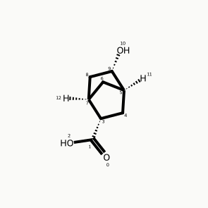 O=C(O)[C@H]1C[C@H]2C[C@@H]1C[C@@H]2O